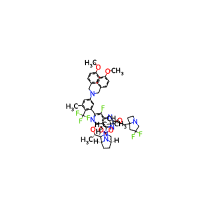 COc1ccc(CN(Cc2ccc(OC)cc2)c2cc(C)c(C(F)(F)F)c(-c3nc4c5c(nc(OCC67CCN6CC(F)(F)C7)nc5c3F)N3C[C@H]5CC[C@@H]([C@H]3[C@H](C)O4)N5C(=O)OC(C)(C)C)c2)cc1